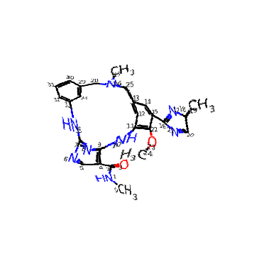 CNC(=O)c1cnc2nc1Nc1cc(cc(C3=NC(C)C=N3)c1OC)CN(C)Cc1cccc(c1)N2